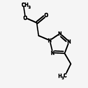 CCc1nnn(CC(=O)OC)n1